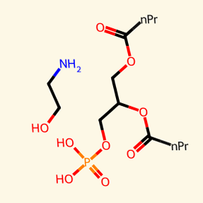 CCCC(=O)OCC(COP(=O)(O)O)OC(=O)CCC.NCCO